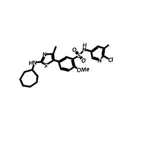 COc1ccc(-c2sc(NC3CCCCCC3)nc2C)cc1S(=O)(=O)Nc1cnc(Cl)c(C)c1